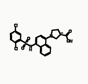 O=C(O)[C@@H]1CCN(c2ccc(NS(=O)(=O)c3cc(Cl)ccc3Cl)c3ccccc23)C1